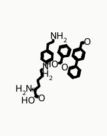 NCCCC[C@H](N)C(=O)O.NCCc1ccccc1.O=C(O)c1ccccc1.O=Cc1ccc(-c2ccccc2)cc1